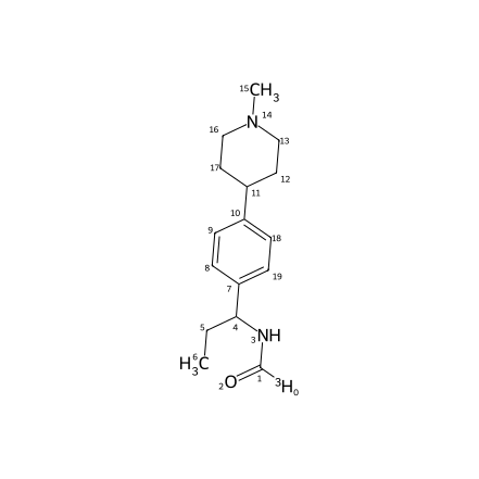 [3H]C(=O)NC(CC)c1ccc(C2CCN(C)CC2)cc1